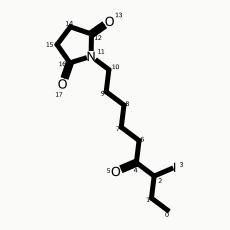 CCC(I)C(=O)CCCCCN1C(=O)CCC1=O